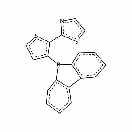 c1ccc2c(c1)B(c1ccsc1-c1nccs1)c1ccccc1-2